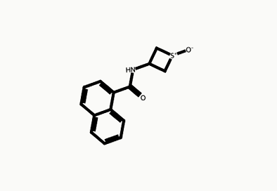 O=C(NC1C[S+]([O-])C1)c1cccc2ccccc12